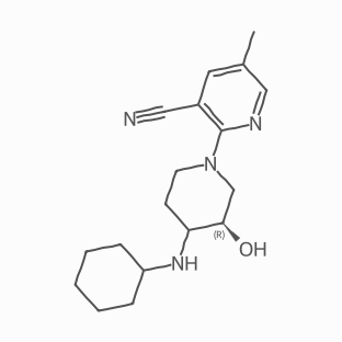 Cc1cnc(N2CCC(NC3CCCCC3)[C@H](O)C2)c(C#N)c1